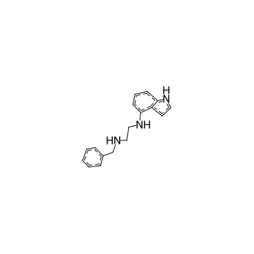 c1ccc(CNCCNc2cccc3[nH]ccc23)cc1